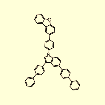 c1ccc(-c2ccc(-c3ccc4c(c3)c(-c3ccc(-c5ccccc5)cc3)cn4-c3ccc(-c4ccc5oc6ccccc6c5c4)cc3)cc2)cc1